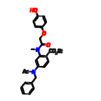 CCOC(=O)c1ccc(N(Cc2ccccc2)C(C)=O)cc1N(C)C(=O)COc1ccc(O)cc1